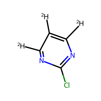 [2H]c1nc(Cl)nc([2H])c1[2H]